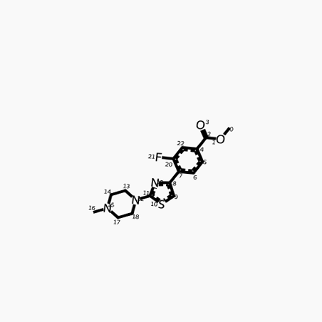 COC(=O)c1ccc(-c2csc(N3CCN(C)CC3)n2)c(F)c1